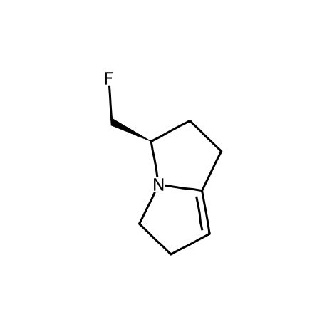 FC[C@H]1CCC2=CCCN21